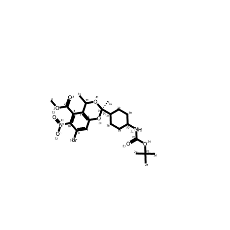 COC(=O)c1c2c(cc(Br)c1[N+](=O)[O-])O[C@](C)(C1CCC(NC(=O)OC(C)(C)C)CC1)OC2C